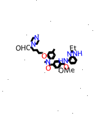 CCc1nc2c(NC(=O)c3ccc(C(=O)N(C)c4ccc(C)cc4OCCCCC(C=O)N4CCN(C)CC4)cc3OC)cccc2[nH]1